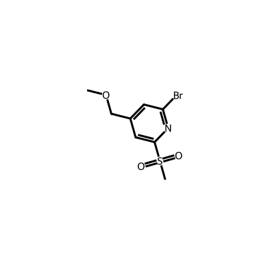 COCc1cc(Br)nc(S(C)(=O)=O)c1